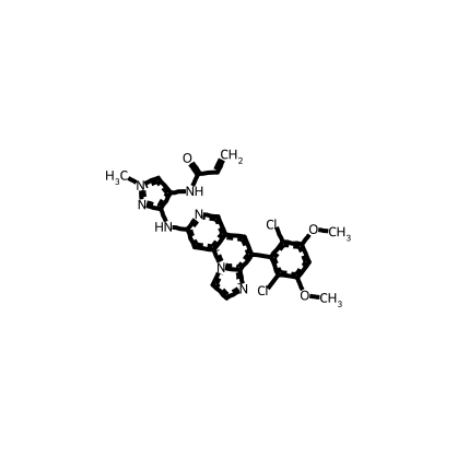 C=CC(=O)Nc1cn(C)nc1Nc1cc2c(cn1)cc(-c1c(Cl)c(OC)cc(OC)c1Cl)c1nccn12